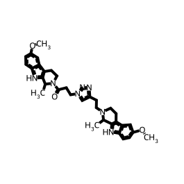 COc1ccc2[nH]c3c(c2c1)CCN(CCc1cn(CCC(=O)N2CCc4c([nH]c5ccc(OC)cc45)C2C)nn1)C3C